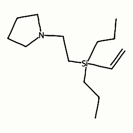 C=C[Si](CCC)(CCC)CCN1CCCC1